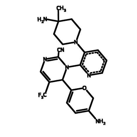 CC1(N)CCN(c2cccnc2N2C(C#N)=NC=C(C(F)(F)F)C2C2=CC=C(N)CO2)CC1